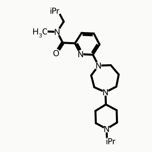 CC(C)CN(C)C(=O)c1cccc(N2CCCN(C3CCN(C(C)C)CC3)CC2)n1